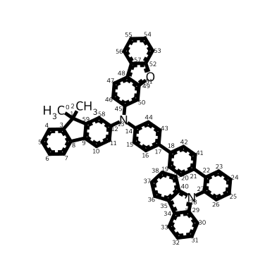 CC1(C)c2ccccc2-c2ccc(N(c3ccc(-c4ccc(-c5ccccc5-n5c6ccccc6c6ccccc65)cc4)cc3)c3ccc4c(c3)oc3ccccc34)cc21